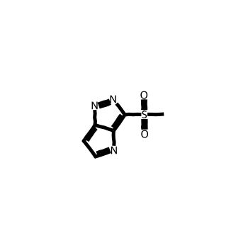 CS(=O)(=O)C1=C2N=CC=C2N=N1